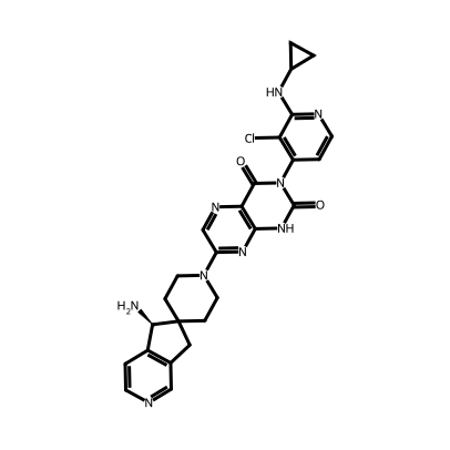 N[C@@H]1c2ccncc2CC12CCN(c1cnc3c(=O)n(-c4ccnc(NC5CC5)c4Cl)c(=O)[nH]c3n1)CC2